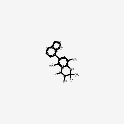 COc1c(-c2cccc3cc[nH]c23)cc(C)c2c1C(C)C(O)C(C)(C)N2